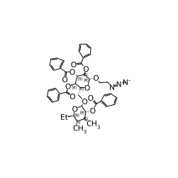 CC[C@H]1OC(OC[C@H]2O[C@@H](OCCN=[N+]=[N-])[C@H](OC(=O)c3ccccc3)[C@@H](OC(=O)c3ccccc3)[C@@H]2OC(=O)c2ccccc2)[C@H](OC(=O)c2ccccc2)[C@@H](C)[C@@H]1C